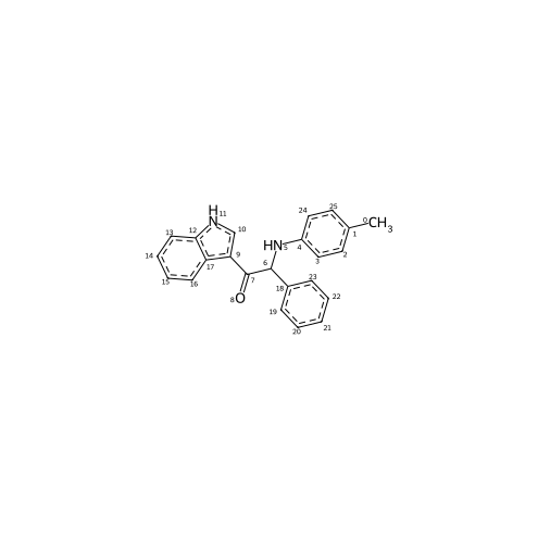 Cc1ccc(NC(C(=O)c2c[nH]c3ccccc23)c2ccccc2)cc1